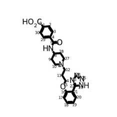 O=C(O)c1ccc(C(=O)NC2CCN(CCCOc3ccccc3-c3nnn[nH]3)CC2)cc1